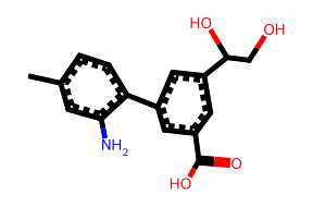 Cc1ccc(-c2cc(C(=O)O)cc(C(O)CO)c2)c(N)c1